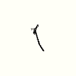 CCCCCCCCCCCCCCCCCCCC(COP(O)OCCCN(C)C)OC(C)=O